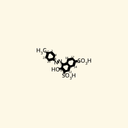 Cc1ccc(/N=N/c2c(O)c(S(=O)(=O)O)cc3cc(S(=O)(=O)O)ccc23)cc1